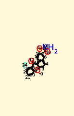 COc1ccc2cc(S(N)(=O)=O)ccc2c1C(=O)c1ccccc1F